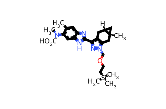 Cc1cc2nc(-c3nn(COCC[Si](C)(C)C)c4c3C[C@@H]3C[C@]3(C)C4)[nH]c2cc1N(C)C(=O)O